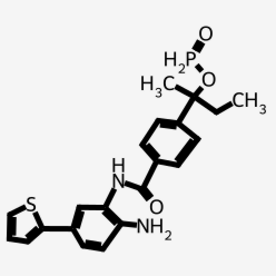 CCC(C)(O[PH2]=O)c1ccc(C(=O)Nc2cc(-c3cccs3)ccc2N)cc1